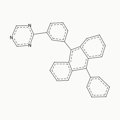 c1ccc(-c2c3ccccc3c(-c3cccc(-c4ncncn4)c3)c3ccccc23)cc1